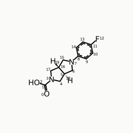 O=C(O)N1C[C@@H]2CN(c3ccc(F)cc3)C[C@H]2C1